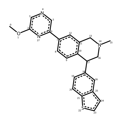 COc1cncc(-c2ccc3c(c2)CN(C)CC3c2ccc3sccc3c2)n1